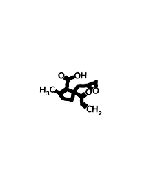 C=CC(=O)C1(CC2CO2)CCC(C)=C1C(=O)O